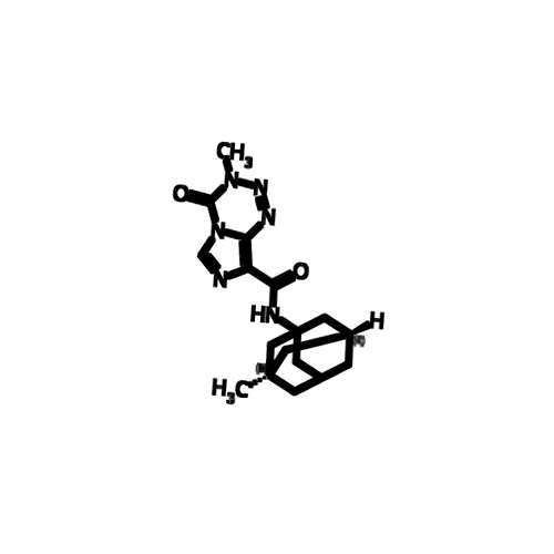 Cn1nnc2c(C(=O)NC34CC5C[C@@H](C3)C[C@@](C)(C5)C4)ncn2c1=O